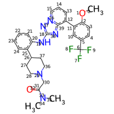 COc1ccc(C(F)(F)F)cc1-c1cccn2nc(Nc3ccccc3C3CCN(CC(=O)N(C)C)CC3)nc12